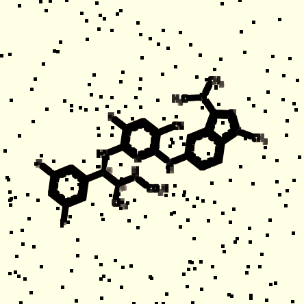 C[C@H](NC(=O)O)[C@H](Nc1nc(Nc2ccc3c(c2)c(N(C)C)nn3C)c(C#N)cc1F)c1cc(F)cc(F)c1